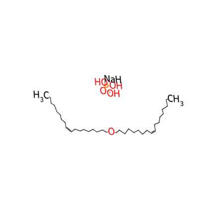 CCCCCCCC/C=C\CCCCCCCCOCCCCCCCC/C=C\CCCCCCCC.O=P(O)(O)O.[NaH]